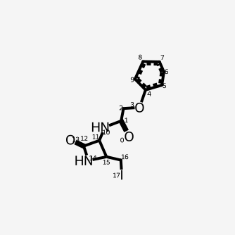 O=C(COc1ccccc1)NC1C(=O)NC1CI